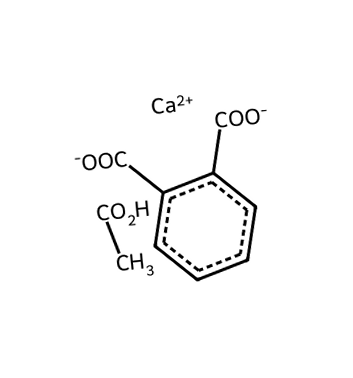 CC(=O)O.O=C([O-])c1ccccc1C(=O)[O-].[Ca+2]